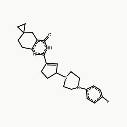 O=c1[nH]c(C2=CC(N3CCN(c4ccc(F)cc4)CC3)CC2)nc2c1CC1(CC2)CC1